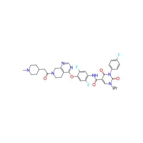 CC(C)n1cc(C(=O)Nc2cc(F)c(Oc3ncnc4c3CCN(C(=O)CC3CCN(C)CC3)C4)cc2F)c(=O)n(-c2ccc(F)cc2)c1=O